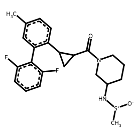 Cc1ccc(C2CC2C(=O)N2CCCC(N[S+](C)[O-])C2)c(-c2c(F)cccc2F)c1